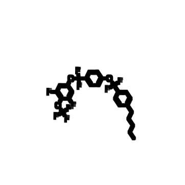 CCCCCc1ccc(C(F)(F)Oc2ccc(C(F)(F)Oc3cc(F)c(OC(F)(F)F)c(F)c3)cc2)cc1